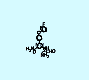 NC[C@@H](C=O)Nc1cc(C(N)=O)nc(-c2ccc(Oc3cccc(F)n3)cc2)n1